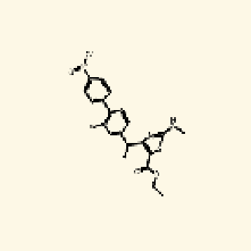 CCOC(=O)c1sc(NC)nc1C(C)c1ccc(-c2ccc([N+](=O)[O-])cc2)c(F)c1